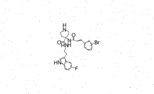 O=C(/C=C/c1cccc(Br)c1)NC1(C(=O)NCCc2c[nH]c3ccc(F)cc23)CCNCC1